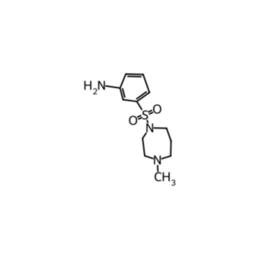 CN1CCCN(S(=O)(=O)c2cccc(N)c2)CC1